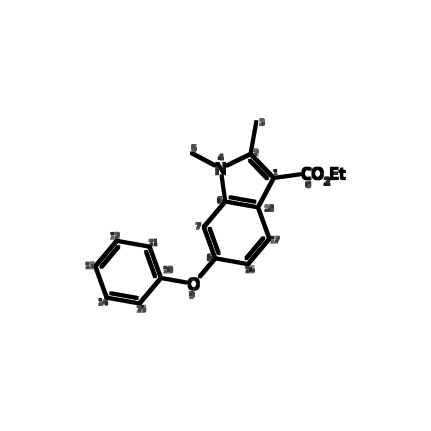 CCOC(=O)c1c(C)n(C)c2cc(Oc3ccccc3)ccc12